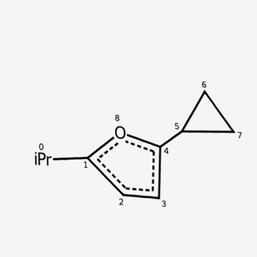 CC(C)c1ccc(C2CC2)o1